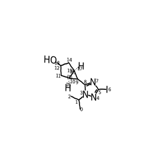 CC(C)n1nc(I)nc1C1[C@H]2CC(O)C[C@@H]12